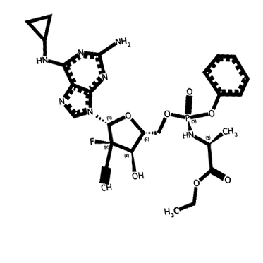 C#C[C@@]1(F)[C@H](O)[C@@H](CO[P@@](=O)(N[C@@H](C)C(=O)OCC)Oc2ccccc2)O[C@H]1n1cnc2c(NC3CC3)nc(N)nc21